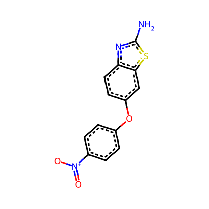 Nc1nc2ccc(Oc3ccc([N+](=O)[O-])cc3)cc2s1